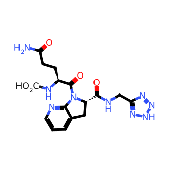 NC(=O)CC[C@H](NC(=O)O)C(=O)N1c2ncccc2C[C@H]1C(=O)NCc1nn[nH]n1